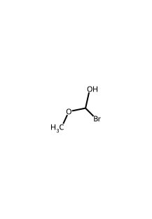 COC(O)Br